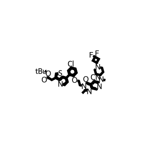 Cc1nc2cnc(N(C)C3CCN(C4CC(F)(F)C4)CC3)c(C#N)c2c(=O)n1CCOc1ccc(Cl)cc1-c1ccnc2c(CC(=O)OC(C)(C)C)csc12